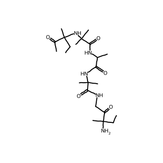 CCC(C)(N)C(=O)CNC(=O)C(C)(C)NC(=O)C(C)NC(=O)C(C)(C)NC(C)(CC)C(C)=O